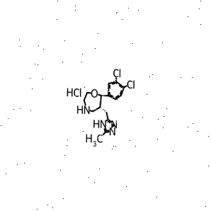 Cc1nnc(C[C@@H]2CNCCO[C@H]2c2ccc(Cl)c(Cl)c2)[nH]1.Cl